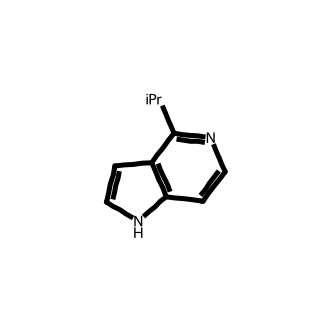 CC(C)c1nccc2[nH]ccc12